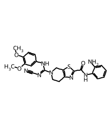 COc1ccc(N/C(=N\C#N)N2CCc3nc(C(=O)Nc4ccccc4N)sc3C2)cc1OC